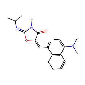 C=C(/C=C1/OC(=NC(C)C)N(C)C1=O)C1=C(/C(=C\C)N(C)C)C=CCC1